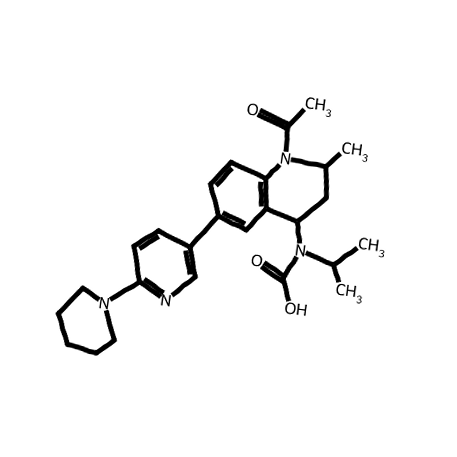 CC(=O)N1c2ccc(-c3ccc(N4CCCCC4)nc3)cc2C(N(C(=O)O)C(C)C)CC1C